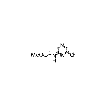 COCCNc1cncc(Cl)n1